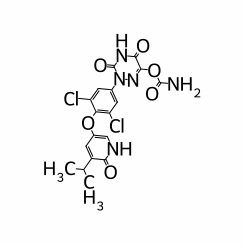 CC(C)c1cc(Oc2c(Cl)cc(-n3nc(OC(N)=O)c(=O)[nH]c3=O)cc2Cl)c[nH]c1=O